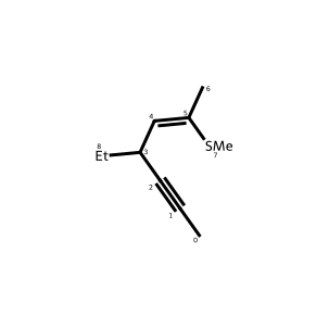 CC#CC(/C=C(/C)SC)CC